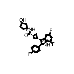 O=C(N[C@@H]1CC[C@H](O)C1)[C@H]1C[C@H](c2c(-c3ccc(F)cc3)[nH]c3c(F)cc(F)cc32)C1